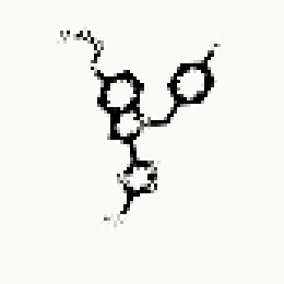 COOSc1ccc2c(c1)cc(-c1noc(C)n1)n2Cc1ccc(F)cc1